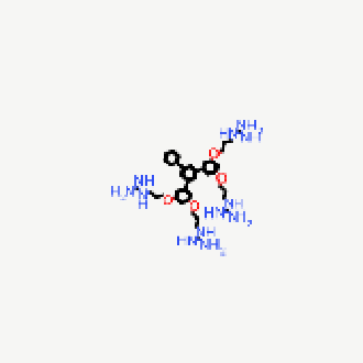 N=C(N)NCCCOc1cc(OCCCNC(=N)N)cc(-c2cc(-c3ccccc3)cc(-c3cc(OCCCNC(=N)N)cc(OCCCNC(=N)N)c3)c2)c1